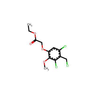 CCOC(=O)COc1cc(Cl)c(CCl)c(Cl)c1OC